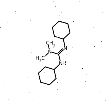 CN(C)C(=NC1CCCCC1)NC1CCCCC1